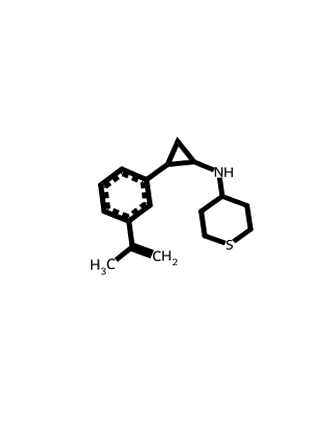 C=C(C)c1cccc(C2CC2NC2CCSCC2)c1